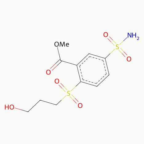 COC(=O)c1cc(S(N)(=O)=O)ccc1S(=O)(=O)CCCO